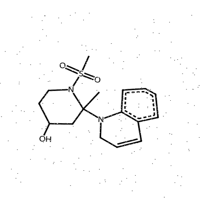 CC1(N2CC=Cc3ccccc32)CC(O)CCN1S(C)(=O)=O